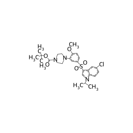 COc1ccc(S(=O)(=O)c2cn(C(C)C)c3ccc(Cl)cc23)cc1N1CCN(C(=O)OC(C)(C)C)CC1